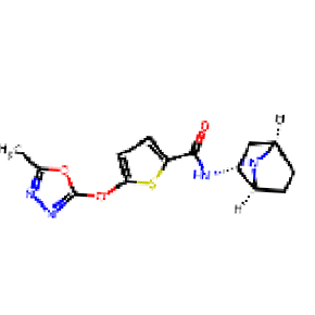 Cc1nnc(Oc2ccc(C(=O)N[C@@H]3C[C@H]4CC[C@@H]3N4)s2)o1